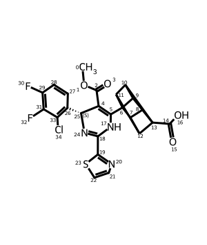 COC(=O)C1=C(C23C4C5C2C2C3C4C52C(=O)O)NC(c2nccs2)=N[C@@H]1c1ccc(F)c(F)c1Cl